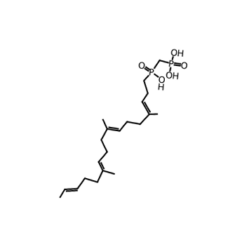 CC=CCCC(C)=CCCC(C)=CCCC(C)=CCCP(=O)(O)CP(=O)(O)O